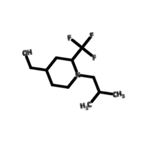 CC(C)CN1CCC(CO)CC1C(F)(F)F